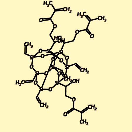 C=C[Si]12O[Si]3(C=C)O[Si]4(C(O)COC(=O)C(=C)C)O[Si](C=C)(O1)O[Si]1(C(O)COC(=O)C(=C)C)O[Si](C=C)(O2)O[Si](C(O)COC(=O)C(=C)C)(O3)O[Si](C=C)(O4)O1